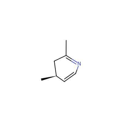 CC1=NC=C[C@@H](C)C1